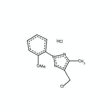 COc1ccccc1-n1nc(C)c(CCl)n1.Cl